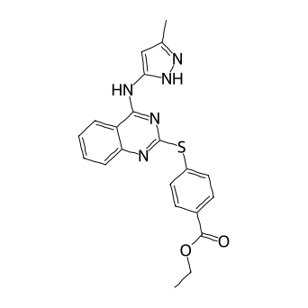 CCOC(=O)c1ccc(Sc2nc(Nc3cc(C)n[nH]3)c3ccccc3n2)cc1